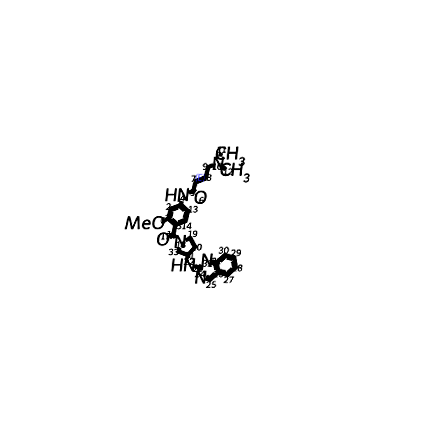 COc1cc(NC(=O)/C=C/CN(C)C)ccc1C(=O)N1CCC(Nc2ncc3ccccc3n2)C1